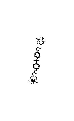 CC(=O)O[C@@H](CO)COc1ccc(C(C)(C)c2ccc(OC[C@H](CCl)OC(C)=O)cc2)cc1